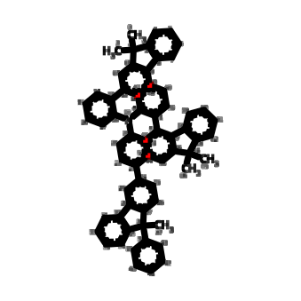 CC1(C)c2ccccc2-c2ccc(-c3ccccc3N(c3ccc(-c4ccc5c(c4)-c4ccccc4C5(C)c4ccccc4)cc3)c3ccccc3-c3cccc4c3-c3ccccc3C4(C)C)cc21